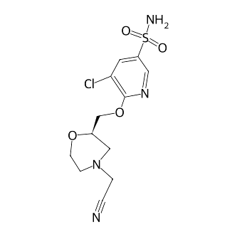 N#CCN1CCO[C@@H](COc2ncc(S(N)(=O)=O)cc2Cl)C1